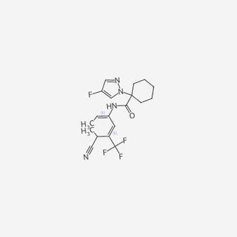 C/C=C(\C=C(/C(C)C#N)C(F)(F)F)NC(=O)C1(n2cc(F)cn2)CCCCC1